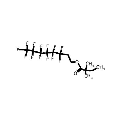 CCC(C)(C)C(=O)OCCC(F)(F)C(F)(F)C(F)(F)C(F)(F)C(F)(F)C(F)(F)F